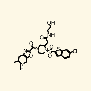 CC1Cc2nc(C(=O)N3CCN(S(=O)(=O)c4cc5ccc(Cl)cc5s4)C(CC(=O)NCCO)C3)oc2CN1